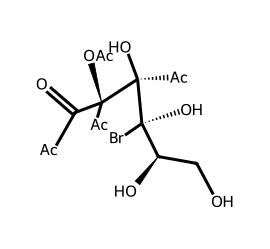 CC(=O)O[C@@](C(C)=O)(C(=O)C(C)=O)[C@](O)(C(C)=O)[C@](O)(Br)[C@H](O)CO